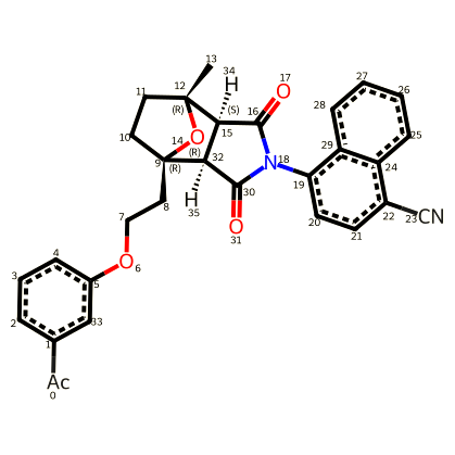 CC(=O)c1cccc(OCC[C@@]23CC[C@@](C)(O2)[C@H]2C(=O)N(c4ccc(C#N)c5ccccc45)C(=O)[C@H]23)c1